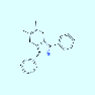 CC1=C(C)Cc2c(-c3ccccc3)[nH]c(-c3ccccc3)c2C1